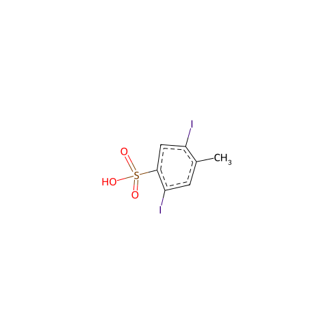 Cc1cc(I)c(S(=O)(=O)O)cc1I